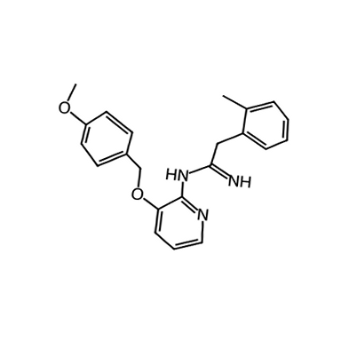 COc1ccc(COc2cccnc2NC(=N)Cc2ccccc2C)cc1